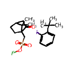 CC(C)(C)c1ccccc1I.CC1(C)C2CCC1(CS(=O)(=O)OF)C(=O)C2